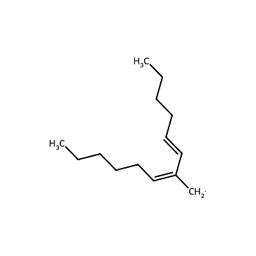 [CH2]C(C=CCCCC)=CCCCCC